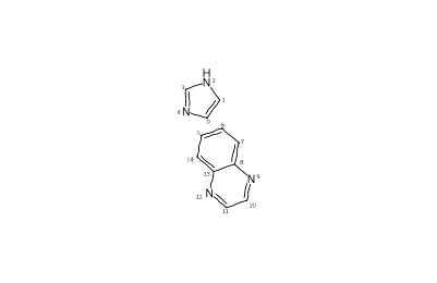 c1c[nH]cn1.c1ccc2nccnc2c1